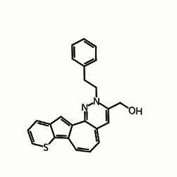 OCC1=Cc2cccc3c(cc4cccsc43)c2=NN1CCc1ccccc1